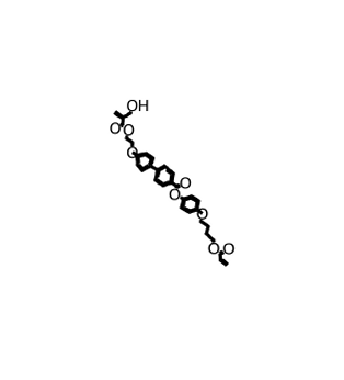 C=CC(=O)OCCCCOc1ccc(OC(=O)c2ccc(-c3ccc(OCCOC(=O)C(=C)CO)cc3)cc2)cc1